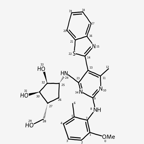 COc1cccc(C)c1Nc1nc(C)c(-c2nc3ccccc3s2)c(N[C@@H]2C[C@H](CO)[C@@H](O)[C@H]2O)n1